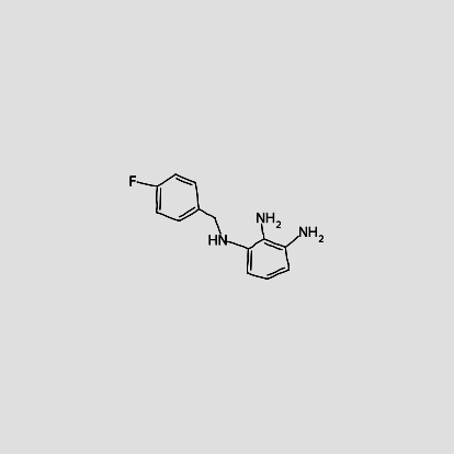 Nc1cccc(NCc2ccc(F)cc2)c1N